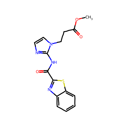 COC(=O)CCn1ccnc1NC(=O)c1nc2ccccc2s1